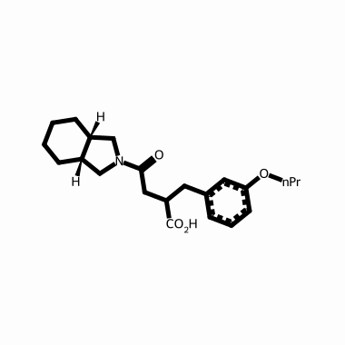 CCCOc1cccc(CC(CC(=O)N2C[C@H]3CCCC[C@H]3C2)C(=O)O)c1